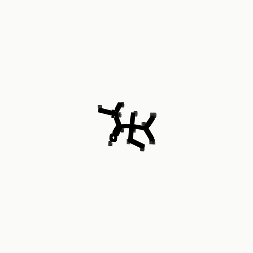 CCC(C)(C(=O)N(C)C)C(C)C